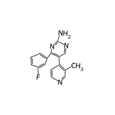 Cc1cnccc1-c1cnc(N)nc1-c1cccc(F)c1